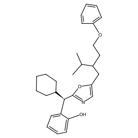 C[C](C)C(CCOc1ccccc1)Cc1cnc([C@@H](c2ccccc2O)C2CCCCC2)o1